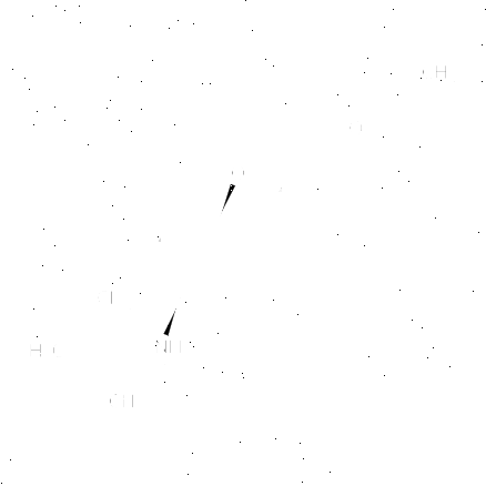 CCOCCO[C@H]1C[C@@H](NC(C)(C)C)C1